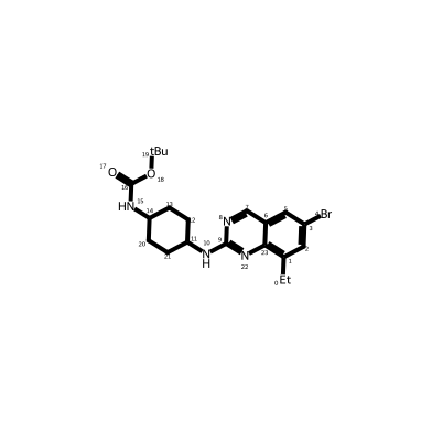 CCc1cc(Br)cc2cnc(NC3CCC(NC(=O)OC(C)(C)C)CC3)nc12